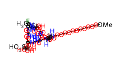 CC[C@@]1(O)C(=O)OCc2c1cc1n(c2=O)Cc2c-1nc1cc(F)c(C)c3c1c2[C@@H](NC(=O)C12CC(NC(=O)OCc4ccc(O[C@@H]5O[C@H](C(=O)O)[C@@H](O)[C@H](O)[C@H]5O)c(CNC(=O)CCNC(=O)[C@H](CCCC(=O)N[C@H]5CO[C@H]6[C@@H]5OC[C@@H]6NC(=O)CCOCCOCCOCCOCCOCCOCCOCCOCCOCCOCCOCCOC)NC(=O)CCN5C(=O)C=CC5=O)c4)(C1)C2)CC3